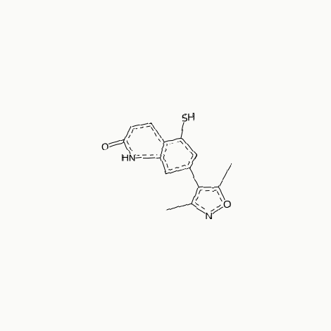 Cc1noc(C)c1-c1cc(S)c2ccc(=O)[nH]c2c1